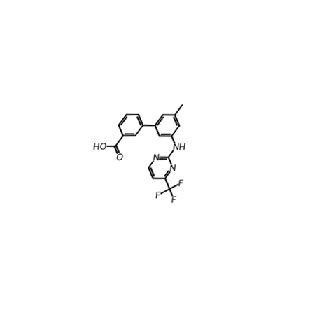 Cc1cc(Nc2nccc(C(F)(F)F)n2)cc(-c2cccc(C(=O)O)c2)c1